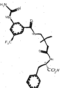 CC(C)(CNC(=O)c1cc(NC(=N)N)cc(C(F)(F)F)c1)CC(=O)N[C@@H](Cc1ccccc1)C(=O)O